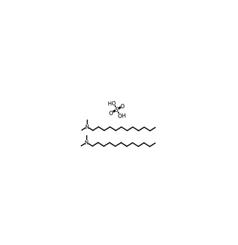 CCCCCCCCCCCCN(C)C.CCCCCCCCCCCCN(C)C.O=S(=O)(O)O